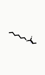 C/C=C(\F)SCCCCCC